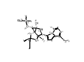 CC1(C)O[C@H]2[C@H](c3ccc4c(N)ncnn34)N[C@]3(C#N)[C@@H](O[Si](C)(C)C(C)(C)C)[C@]23O1